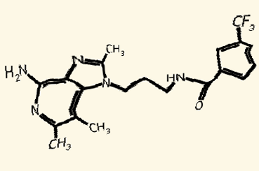 Cc1nc(N)c2nc(C)n(CCCNC(=O)c3cccc(C(F)(F)F)c3)c2c1C